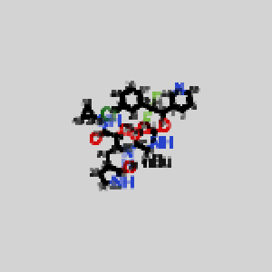 CCCC[C@H](NC(=O)OC(c1cccnc1)C(F)(F)c1cccc(Cl)c1)C(=O)N[C@@H](C[C@@H]1CCNC1=O)C(=O)C(=O)NC1CC1